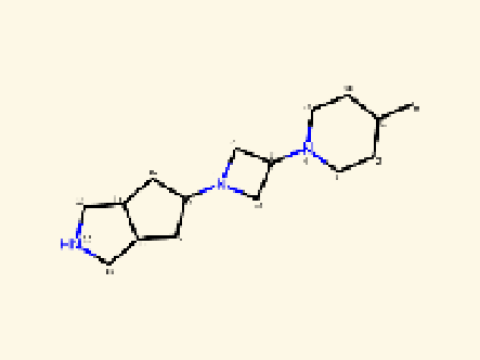 CC1CCN(C2CN(C3CC4CNCC4C3)C2)CC1